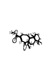 CCC12CCC3C(C)(C)CCCC3(C)C1CCC(C(=O)OC)=CC2=O